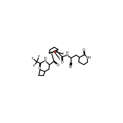 N#CC(CC1CCCNC1=O)NC(=O)C1C2CCC(CC2(F)F)N1C(=O)C(CC1CCC1)NC(=O)C(F)(F)F